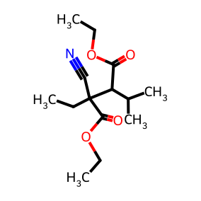 CCOC(=O)C(C(C)C)C(C#N)(CC)C(=O)OCC